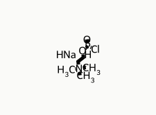 C[N+](C)(C)CCO[PH](=O)Cl.[NaH]